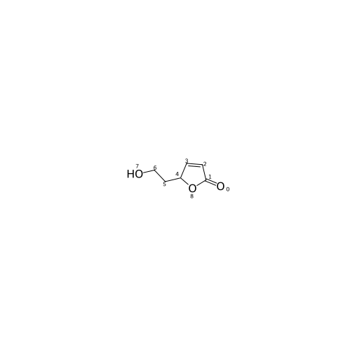 O=C1C=CC(CCO)O1